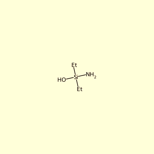 CC[Si](N)(O)CC